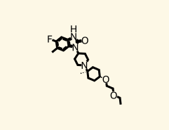 CCOCCO[C@H]1CC[C@](C)(N2CCC(n3c(=O)[nH]c4cc(F)c(C)cc43)CC2)CC1